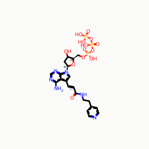 Nc1ncnc2c1c(/C=C/C(=O)NCCc1ccncc1)cn2[C@H]1CC(O)[C@@H](COP(=O)(O)OP(=O)(O)OP(=O)(O)O)O1